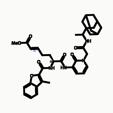 COC(=O)/C=C/CC[C@H](NC(=O)c1oc2ccccc2c1C)C(=O)Nc1cccn(CC(=O)NC(C)C23CC4CC(CC(C4)C2)C3)c1=O